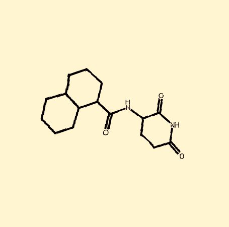 O=C1CCC(NC(=O)C2CCCC3CCCCC32)C(=O)N1